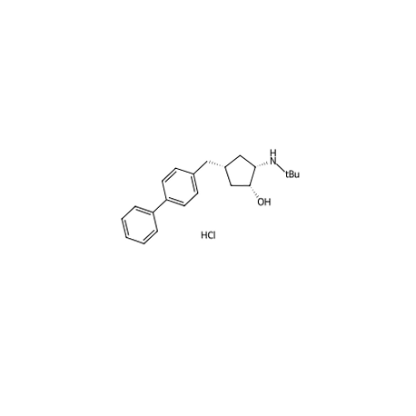 CC(C)(C)N[C@H]1C[C@@H](Cc2ccc(-c3ccccc3)cc2)C[C@H]1O.Cl